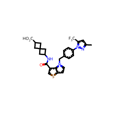 Cc1cc(C(F)(F)F)n(-c2ccc(Cn3ccc4scc(C(=O)NC5CC6(C5)CC(C(=O)O)C6)c43)cc2)n1